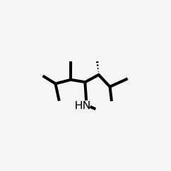 CNC(C(C)C(C)C)[C@H](C)C(C)C